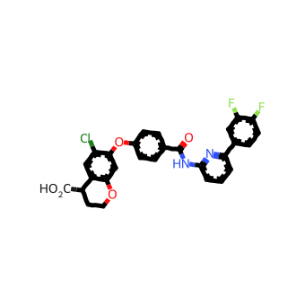 O=C(Nc1cccc(-c2ccc(F)c(F)c2)n1)c1ccc(Oc2cc3c(cc2Cl)C(C(=O)O)CCO3)cc1